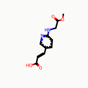 COC(=O)CNc1ccc(C=CC(=O)O)cn1